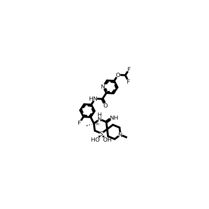 CN1CCC2(CC1)C(=N)N[C@](C)(c1cc(NC(=O)c3ccc(OC(F)F)cn3)ccc1F)CS2(O)O